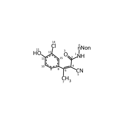 CCCCCCCCCNC(=O)C(C#N)=C(C)c1ccc(O)c(Cl)c1